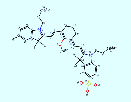 CCCOC1=C(/C=C/C2=[N+](CCOC)c3ccc(C)cc3C2(C)C)CCC/C1=C\C=C1\N(CCOC)c2ccc(S(=O)(=O)[O-])cc2C1(C)C